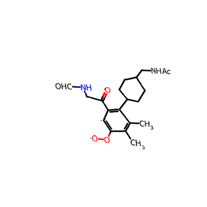 CC(=O)NCC1CCC(c2c(C(=O)CNC=O)[c]c(O[O])c(C)c2C)CC1